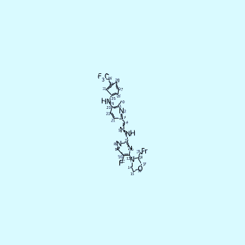 Cc1nc(/C=N/Nc2ncc(F)c(N3CCOCC3C(C)C)n2)ccc1Nc1cccc(C(F)(F)F)c1